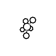 C1CCCC(N2C3CCCC(C3)N(C3CCCCCCC3)C3CCCCC3CC3CCCCCC32)CCC1